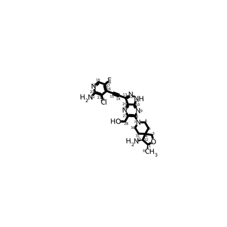 C[C@@H]1OCC2(CCN(c3nc4[nH]nc(C#Cc5c(F)cnc(N)c5Cl)c4nc3CO)CC2)[C@@H]1N